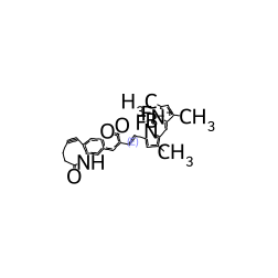 CC1=CC(C)=[N+]2C1=Cc1c(C)cc(/C=C/c3cc4cc5c(cc4oc3=O)C#CCCC(=O)N5)n1[B-]2(F)F